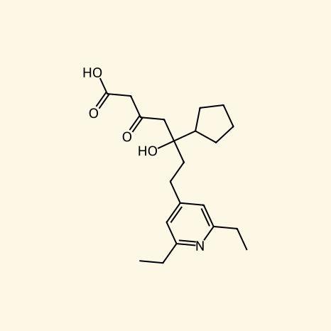 CCc1cc(CCC(O)(CC(=O)CC(=O)O)C2CCCC2)cc(CC)n1